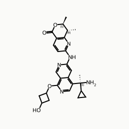 C[C@@H]1OC(=O)c2ccc(Nc3cc4c([C@@](C)(N)C5CC5)cnc(OC5CC(O)C5)c4cn3)nc2[C@H]1C